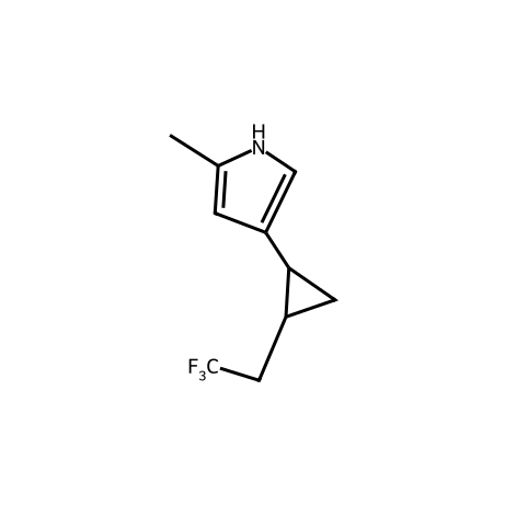 Cc1cc(C2CC2CC(F)(F)F)c[nH]1